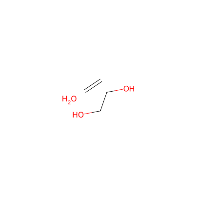 C=C.O.OCCO